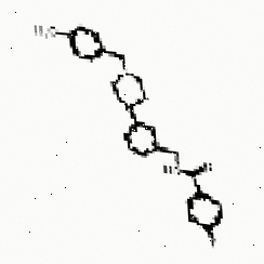 Cc1ccc(CN2CCN(c3cccc(CNC(=O)c4ccc(F)cc4)c3)CC2)cc1